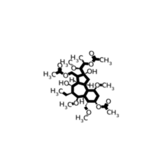 CC[C@H]1[C@H](O)[C@H]2C(COC(C)=O)[C@@](O)([C@@H](OC)[C@@H](C)OC(C)=O)C[C@H]2C2[C@@H]([C@@H](COC)[C@H](OC(C)=O)C[C@@H]2OC)[C@H]1OC